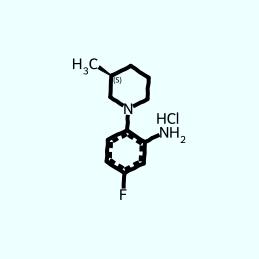 C[C@H]1CCCN(c2ccc(F)cc2N)C1.Cl